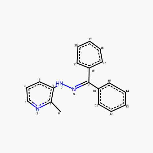 Cc1ncccc1NN=C(c1ccccc1)c1ccccc1